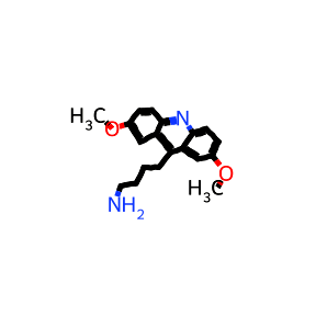 COc1ccc2nc3ccc(OC)cc3c(CCCCN)c2c1